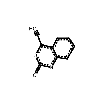 C#Cc1oc(=O)nc2ccccc12